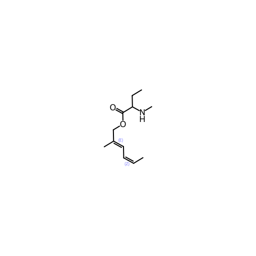 C/C=C\C=C(/C)COC(=O)C(CC)NC